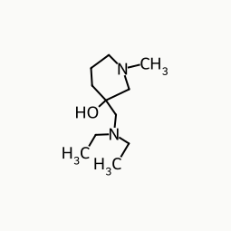 CCN(CC)CC1(O)CCCN(C)C1